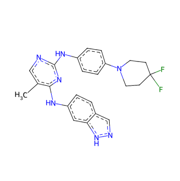 Cc1cnc(Nc2ccc(N3CCC(F)(F)CC3)cc2)nc1Nc1ccc2cn[nH]c2c1